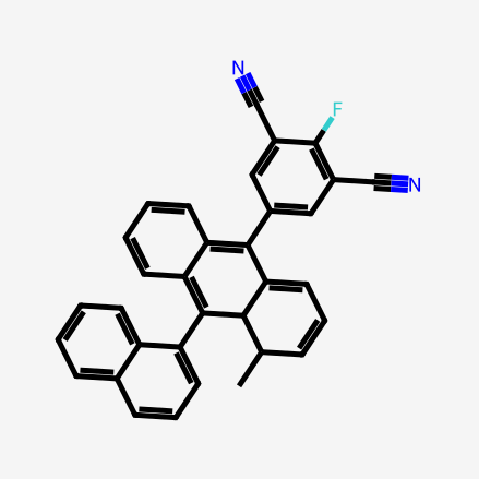 CC1C=CC=C2C(c3cc(C#N)c(F)c(C#N)c3)=c3ccccc3=C(c3cccc4ccccc34)C21